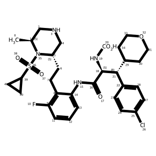 C[C@H]1CNC[C@H](CCc2c(F)cccc2NC(=O)[C@@H](NC(=O)O)[C@@H](c2ccc(Cl)cc2)C2CCOCC2)N1S(=O)(=O)C1CC1